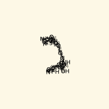 CC(C)(C)C(NC(=O)COCCCOCCCCOc1ccc(N2C(=S)N(c3ccc(C#N)c(C(F)(F)F)c3)C(=O)C2(C)C)cc1)C(=O)N1C[C@H](O)C[C@H]1C(=O)NCc1ccc(-c2cnco2)c(F)c1